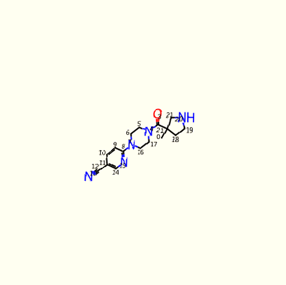 CC1(C(=O)N2CCN(c3ccc(C#N)cn3)CC2)CCNC1